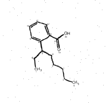 CCCCCC(CC)c1ccccc1C(=O)O